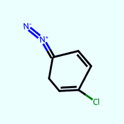 [N-]=[N+]=C1C=CC(Cl)=CC1